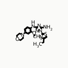 CCc1csc(-n2nc(Nc3ccc(N4CCOCC4)cc3OC)nc2N)n1